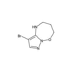 Brc1cnn2c1NCCCO2